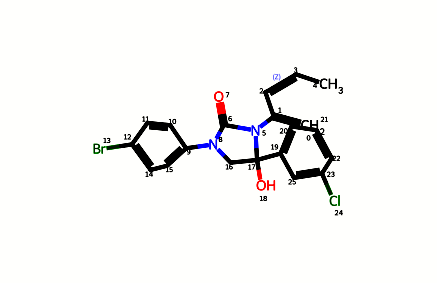 C=C(/C=C\C)N1C(=O)N(c2ccc(Br)cc2)CC1(O)c1cccc(Cl)c1